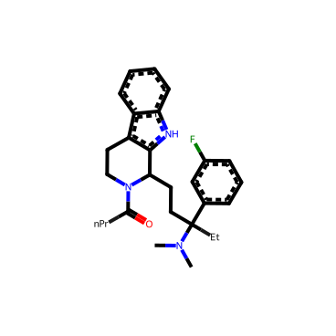 CCCC(=O)N1CCc2c([nH]c3ccccc23)C1CCC(CC)(c1cccc(F)c1)N(C)C